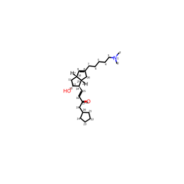 CN(C)CCCCCC1=C[C@H]2C[C@@H](O)[C@H](/C=C/C(=O)CC3CCCC3)[C@H]2C1